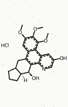 COc1cc2c3c(c4ncc(O)cc4c2c(OC)c1OC)[C@@H](O)[C@H]1CCCC1C3.Cl